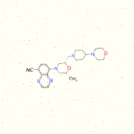 C[C@@H]1CN(c2ccc(C#N)c3nccnc23)C[C@H](CN2CCC(N3CCOCC3)CC2)O1